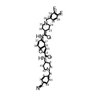 N#Cc1ccc(CN2CCC(NC(=O)c3cc4cc(NC(=O)C5CCN(Cc6ccc(F)c(F)c6)CC5)ccc4o3)CC2)cc1